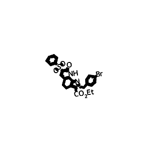 CCOC(=O)c1c2c(nn1Cc1ccc(Br)cc1)-c1[nH]c(=O)c(S(=O)(=O)c3ccccc3)cc1CC2